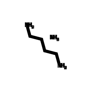 N.NCCCCN